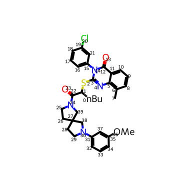 CCCCC(Sc1nc2c(C)cccc2c(=O)n1-c1cccc(Cl)c1)C(=O)N1CCC2(CCN(c3cccc(OC)c3)C2)C1